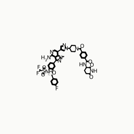 C[C@H](Oc1cc(-c2nn(C)c3c(-c4cnn(C5CCN(C(=O)c6ccc(C(=O)NC7CCC(=O)NC7=O)cc6)CC5)c4)cnc(N)c23)ccc1NS(=O)(=O)C(F)F)c1ccc(F)cc1